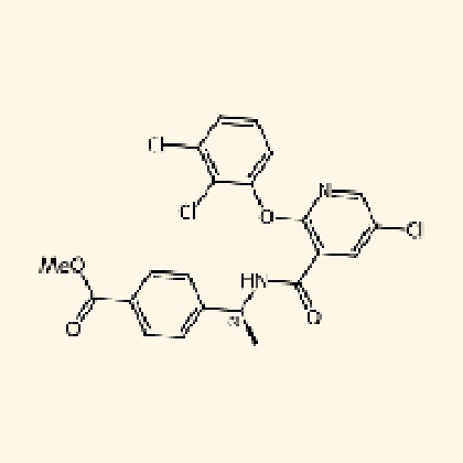 COC(=O)c1ccc([C@H](C)NC(=O)c2cc(Cl)cnc2Oc2cccc(Cl)c2Cl)cc1